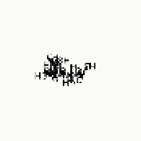 CCCCC(CC)C(=O)CNC(=O)CNC(=O)CNC(=O)C(CC(=O)O)NC(=O)C(CC(=O)O)NCCC